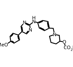 COc1ccc(-c2cnc(Nc3ccc(CN4CCCC(OC(=O)O)C4)cc3)nc2)cc1